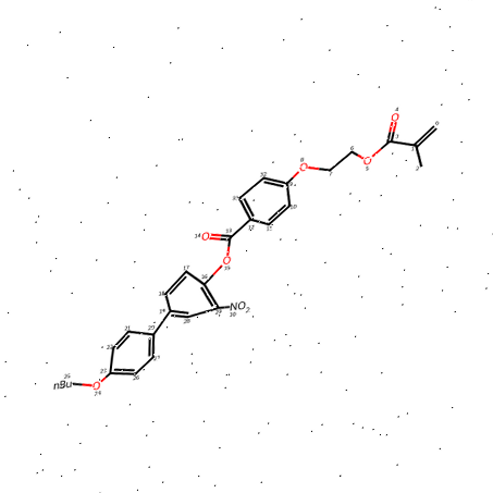 C=C(C)C(=O)OCCOc1ccc(C(=O)Oc2ccc(-c3ccc(OCCCC)cc3)cc2[N+](=O)[O-])cc1